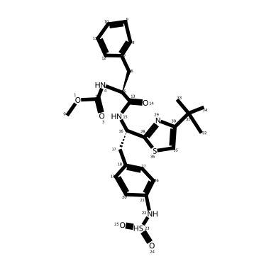 COC(=O)N[C@@H](Cc1ccccc1)C(=O)N[C@@H](Cc1ccc(N[SH](=O)=O)cc1)c1nc(C(C)(C)C)cs1